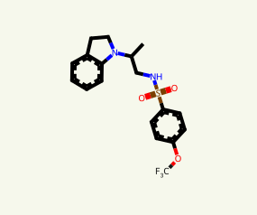 CC(CNS(=O)(=O)c1ccc(OC(F)(F)F)cc1)N1CCc2ccccc21